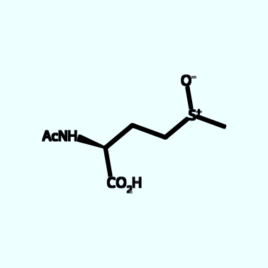 CC(=O)N[C@@H](CC[S+](C)[O-])C(=O)O